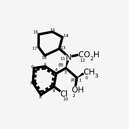 C[C@@H](O)[C@@H](c1ccccc1Cl)N(C(=O)O)C1CCCCC1